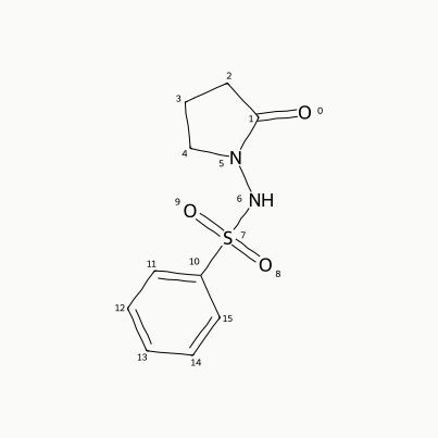 O=C1CCCN1NS(=O)(=O)c1ccccc1